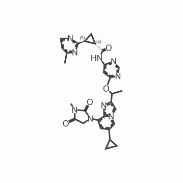 Cc1ccnc([C@H]2C[C@@H]2C(=O)Nc2cc(OC(C)c3cn4cc(C5CC5)cc(N5CC(=O)N(C)C5=O)c4n3)ncn2)n1